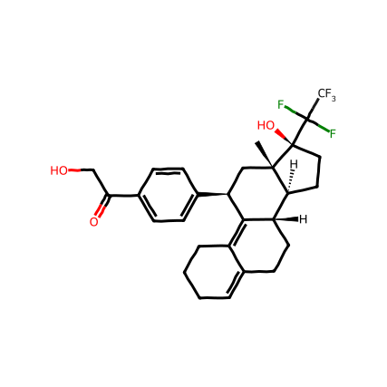 C[C@]12C[C@H](c3ccc(C(=O)CO)cc3)C3=C4CCCC=C4CC[C@H]3[C@@H]1CC[C@@]2(O)C(F)(F)C(F)(F)F